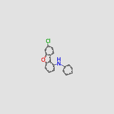 Clc1ccc2c(c1)oc1cccc(Nc3ccccc3)c12